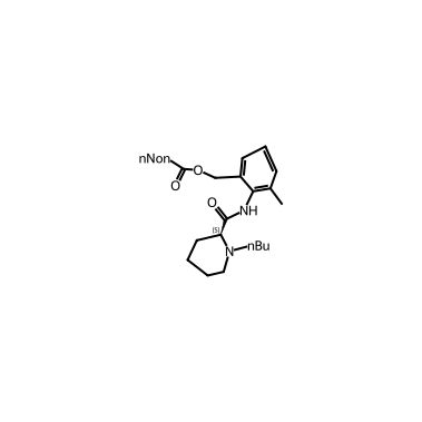 CCCCCCCCCC(=O)OCc1cccc(C)c1NC(=O)[C@@H]1CCCCN1CCCC